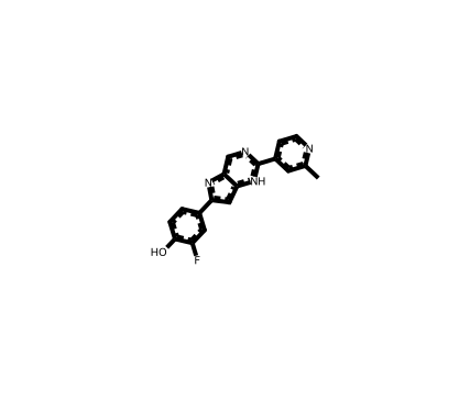 Cc1cc(-c2ncc3nc(-c4ccc(O)c(F)c4)cc-3[nH]2)ccn1